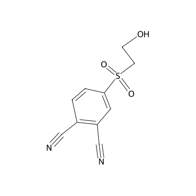 N#Cc1ccc(S(=O)(=O)CCO)cc1C#N